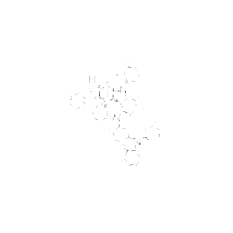 CC1(C)c2ccccc2-c2ccc(N(c3ccc4c5ccccc5n(-c5ccccc5)c4c3)c3cccc4c3c3ccccc3n4-c3ccccc3)cc21